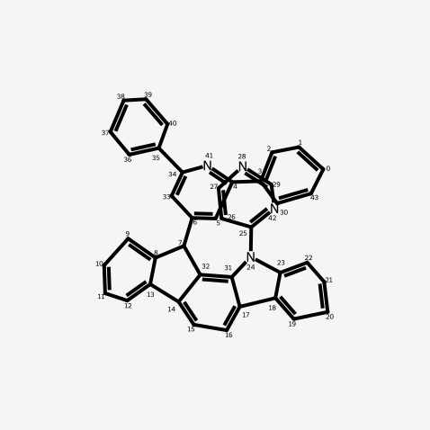 c1ccc(-c2cc(C3c4ccccc4-c4ccc5c6ccccc6n(-c6ccncn6)c5c43)cc(-c3ccccc3)n2)cc1